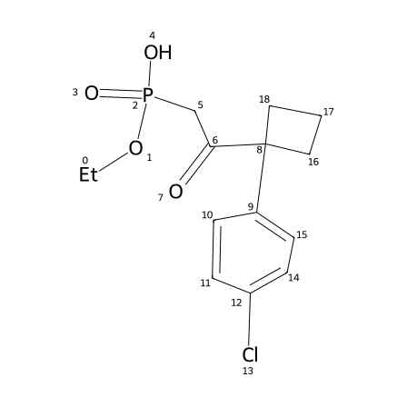 CCOP(=O)(O)CC(=O)C1(c2ccc(Cl)cc2)CCC1